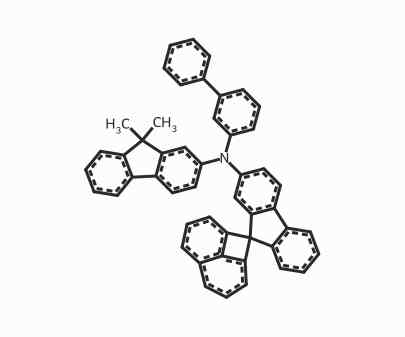 CC1(C)c2ccccc2-c2ccc(N(c3cccc(-c4ccccc4)c3)c3ccc4c(c3)C3(c5ccccc5-4)c4cccc5cccc3c45)cc21